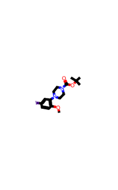 COc1ccc(I)cc1N1CCN(C(=O)OC(C)(C)C)CC1